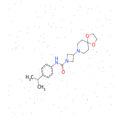 CC(C)c1ccc(NC(=O)N2CC(N3CCC4(CC3)OCCO4)C2)cc1